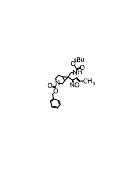 Cc1cc(C2(CNC(=O)OC(C)(C)C)C3CCN(C(=O)OCc4ccccc4)CC32)no1